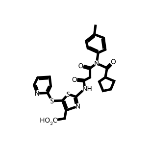 Cc1ccc(N(C(=O)CC(=O)Nc2nc(CC(=O)O)c(Sc3ccccn3)s2)C(=O)C2CCCC2)cc1